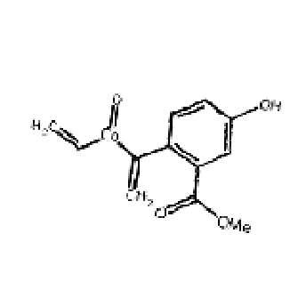 C=[CH][Co](=[O])[C](=C)c1ccc(O)cc1C(=O)OC